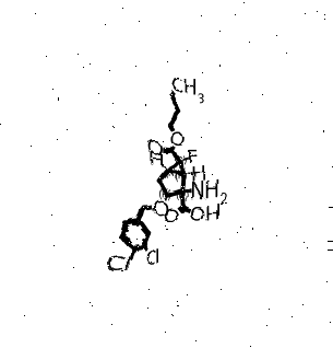 CCCCOC(=O)[C@@]1(F)[C@@H]2C[C@@H](OCc3ccc(Cl)c(Cl)c3)[C@@](N)(C(=O)O)[C@@H]21